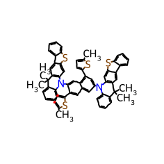 Cc1ccc(-c2cc3cc(N4c5ccccc5C(C)(C)c5cc6c(cc54)sc4ccccc46)cc(-c4ccc(C)s4)c3cc2N2c3ccccc3C(C)(C)c3cc4c(cc32)sc2ccccc24)s1